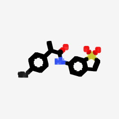 C=C(C(=O)Nc1ccc2c(c1)S(=O)(=O)C=C2)c1ccc(C(C)(C)C)cc1